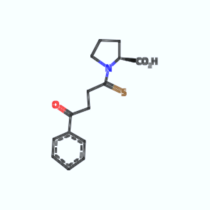 O=C(CCC(=S)N1CCC[C@H]1C(=O)O)c1ccccc1